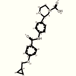 O=C(Nc1ccc(C2CN(C(=O)O)CCO2)cc1)c1ccc(OCC2CC2)cc1